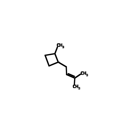 CC(C)=CC[C]1CCC1C